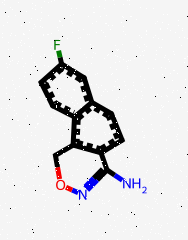 NC1=NOCc2c1ccc1cc(F)ccc21